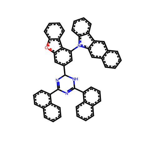 c1ccc2cc3c(cc2c1)c1ccccc1n3-c1cc(C2N=C(c3cccc4ccccc34)N=C(c3cccc4ccccc34)N2)cc2oc3ccccc3c12